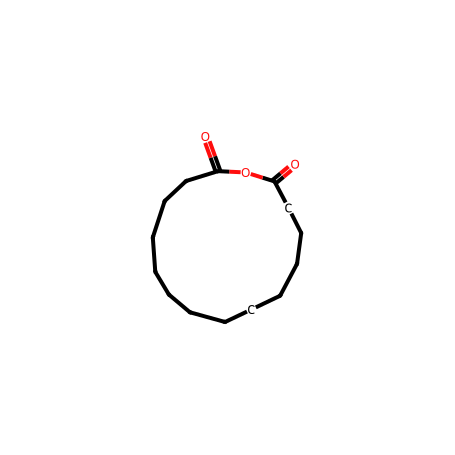 O=C1CCCCCCCCCCCCC(=O)O1